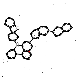 c1ccc(-c2ccccc2N(c2cccc(-c3ccc4ccc(-c5ccc6ccccc6c5)cc4c3)c2)c2ccc3c(c2)oc2ccccc23)cc1